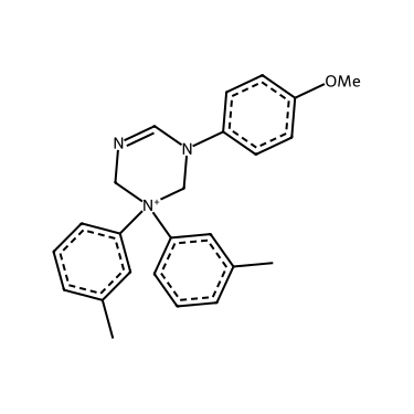 COc1ccc(N2C=NC[N+](c3cccc(C)c3)(c3cccc(C)c3)C2)cc1